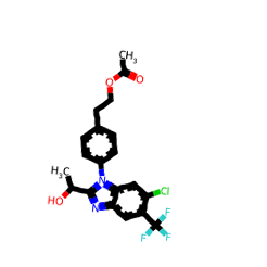 CC(=O)OCCc1ccc(-n2c(C(C)O)nc3cc(C(F)(F)F)c(Cl)cc32)cc1